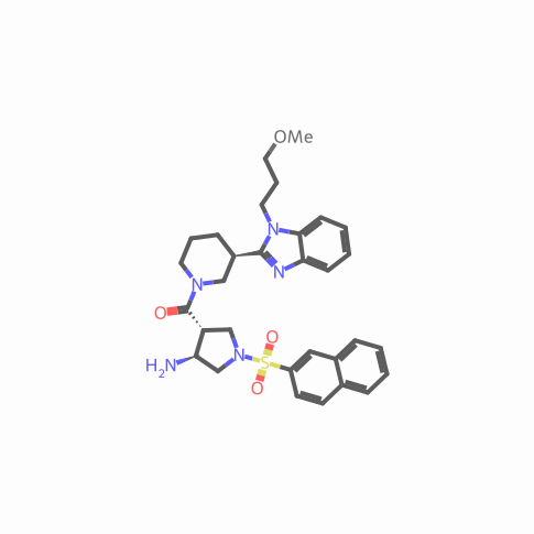 COCCCn1c([C@@H]2CCCN(C(=O)[C@@H]3CN(S(=O)(=O)c4ccc5ccccc5c4)C[C@H]3N)C2)nc2ccccc21